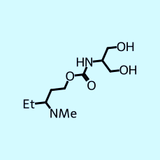 CCC(CCOC(=O)NC(CO)CO)NC